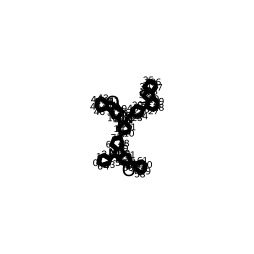 c1ccc(-n2c3ccc(-c4ccc5c(c4)c4cc6c(cc4n5-c4ccc(-c5cccc7c5sc5ccccc57)cc4)oc4ccccc46)cc3c3cc4c(cc32)oc2ccccc24)cc1